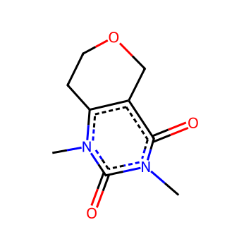 Cn1c2c(c(=O)n(C)c1=O)COCC2